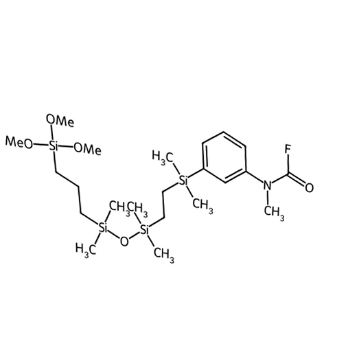 CO[Si](CCC[Si](C)(C)O[Si](C)(C)CC[Si](C)(C)c1cccc(N(C)C(=O)F)c1)(OC)OC